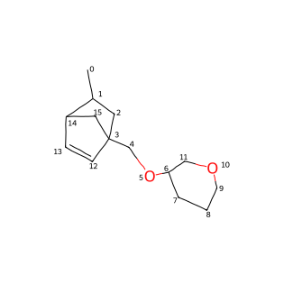 CC1CC2(COC3CCCOC3)C=CC1C2